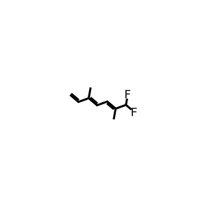 C=C/C(C)=C/C=C(\C)C(F)F